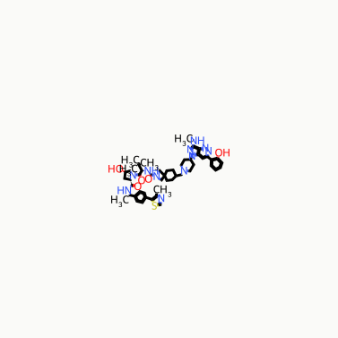 CNc1nn(C2CCN(CC3CCC4(CC3)CN(C(=O)N[C@H](C(=O)N3C[C@H](O)C[C@H]3C(=O)N[C@@H](C)c3ccc(-c5scnc5C)cc3)C(C)(C)C)C4)CC2)c2cc(-c3ccccc3O)nnc12